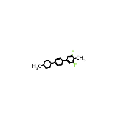 Cc1c(F)cc(C2C=CC(C3CCC(C)CC3)=CC2)cc1F